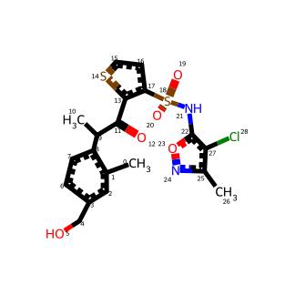 Cc1cc(CO)ccc1C(C)C(=O)c1sccc1S(=O)(=O)Nc1onc(C)c1Cl